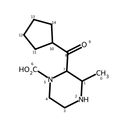 CC1NCCN(C(=O)O)C1C(=O)C1CCCC1